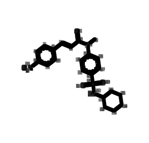 CN(C(=O)C=Cc1ccc([N+](=O)[O-])cc1)c1ccc(S(=O)(=O)NC2CCCCC2)cc1